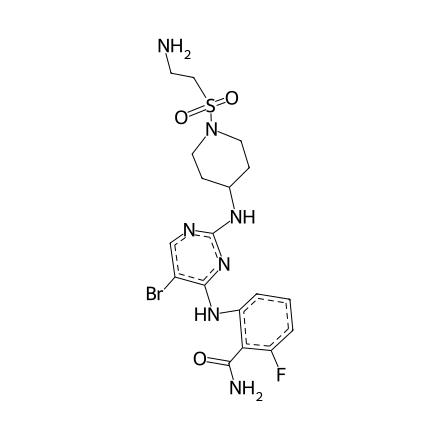 NCCS(=O)(=O)N1CCC(Nc2ncc(Br)c(Nc3cccc(F)c3C(N)=O)n2)CC1